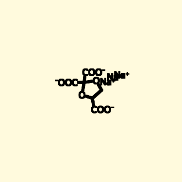 O=C([O-])C1COC(C(=O)[O-])(C(=O)[O-])O1.[Na+].[Na+].[Na+]